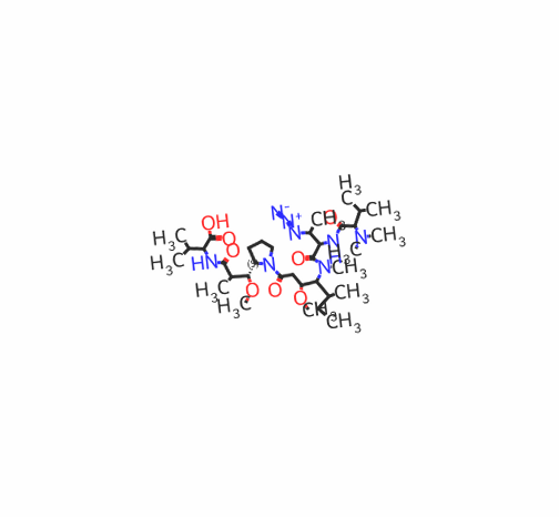 CCC(C)C(C(CC(=O)N1CCC[C@H]1C(OC)C(C)C(=O)NC(C(=O)O)C(C)C)OC)N(C)C(=O)C(NC(=O)C(C(C)C)N(C)C)C(C)N=[N+]=[N-]